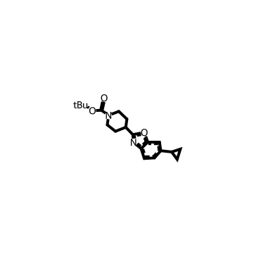 CC(C)(C)OC(=O)N1CCC(c2nc3ccc(C4CC4)cc3o2)CC1